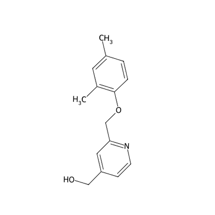 Cc1ccc(OCc2cc(CO)ccn2)c(C)c1